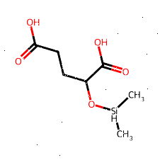 C[SiH](C)OC(CCC(=O)O)C(=O)O